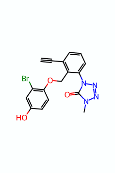 C#Cc1cccc(-n2nnn(C)c2=O)c1COc1ccc(O)cc1Br